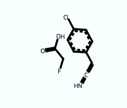 N=C=Cc1ccc(Cl)cc1.O=C(O)CF